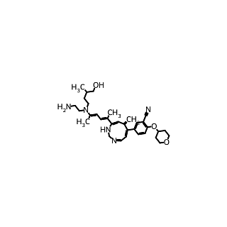 C=C1/C=C(/C(C)=C/C=C(\C)N(CCN)CCC(C)CO)NC/N=C\C=C/1c1ccc(OC2CCOCC2)c(C#N)c1